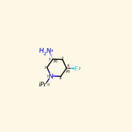 CC(C)N1C[C@H](N)C[C@@H](F)C1